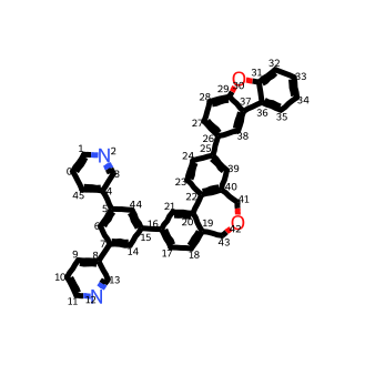 c1cncc(-c2cc(-c3cccnc3)cc(-c3ccc4c(c3)-c3ccc(-c5ccc6oc7ccccc7c6c5)cc3COC4)c2)c1